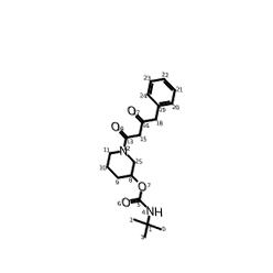 CC(C)(C)NC(=O)OC1CCCN(C(=O)CC(=O)Cc2ccccc2)C1